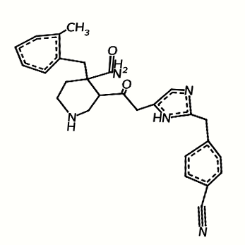 Cc1ccccc1CC1(C(N)=O)CCNCC1C(=O)Cc1cnc(Cc2ccc(C#N)cc2)[nH]1